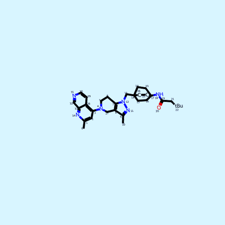 Cc1cc(N2CCc3c(c(C)nn3CC34CCC(NC(=O)CC(C)(C)C)(CC3)CC4)C2)c2ccncc2n1